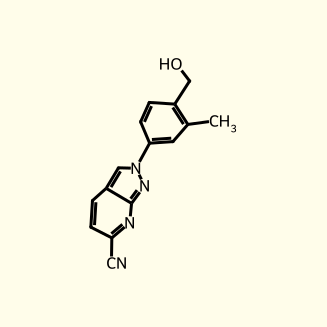 Cc1cc(-n2cc3ccc(C#N)nc3n2)ccc1CO